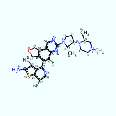 C[C@H]1[C@@H](N2CCN(C)C[C@@H]2C)CCN1c1ncc2c3c(c(-c4ncc(F)c5sc(N)c(C#N)c45)c(F)c2n1)COC3